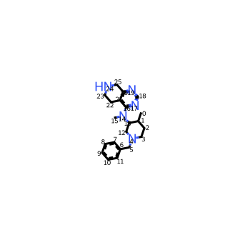 CC1CCN(Cc2ccccc2)CC1N(C)c1ncnc2c1CCNC2